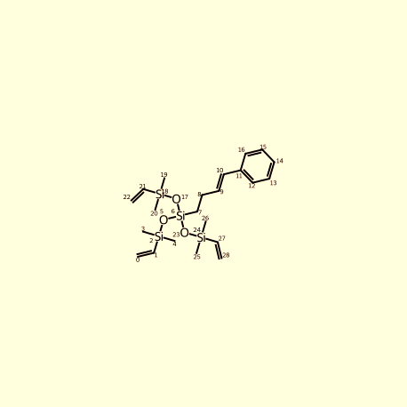 C=C[Si](C)(C)O[Si](CCC=Cc1ccccc1)(O[Si](C)(C)C=C)O[Si](C)(C)C=C